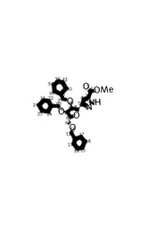 COC(=O)c1cc([C@@H]2O[C@H](COCc3ccccc3)[C@@H](OCc3ccccc3)[C@H]2OCc2ccccc2)n[nH]1